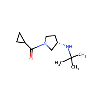 CC(C)(C)N[C@H]1CCN(C(=O)C2CC2)C1